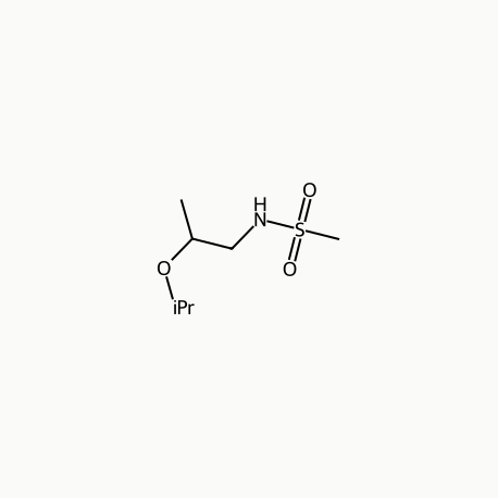 CC(C)OC(C)CNS(C)(=O)=O